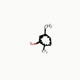 [CH2]c1ccc(C(F)(F)F)c(Br)c1